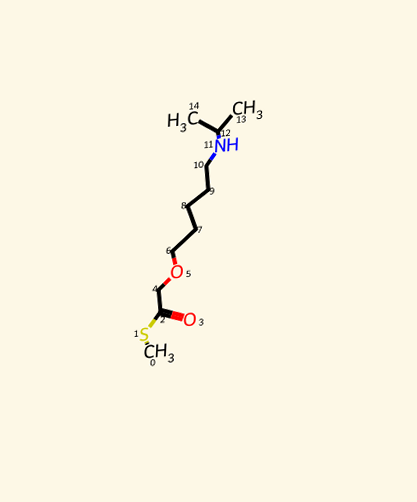 CSC(=O)COCCCCCNC(C)C